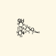 C#CCOc1ccc(C(c2ccc(O)cc2)c2ccccn2)cc1